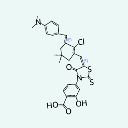 CN(C)c1ccc(/C=C2\CC(C)(C)CC(/C=C3/SC(=S)N(c4ccc(C(=O)O)c(O)c4)C3=O)=C2Cl)cc1